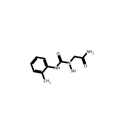 Cc1ccccc1NC(=O)N(S)CC(N)=O